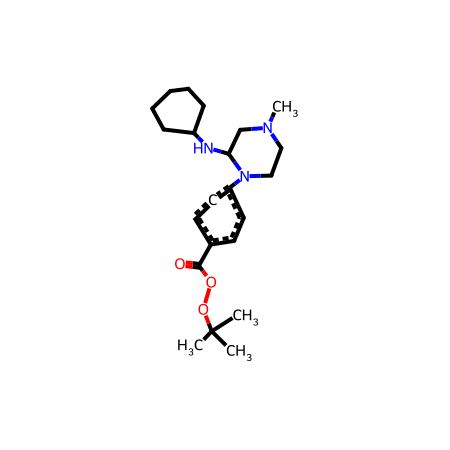 CN1CCN(c2ccc(C(=O)OOC(C)(C)C)cc2)C(NC2CCCCC2)C1